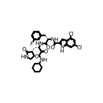 O=C(NC1CCCCC1)C(=O)[C@H](C[C@@H]1CCNC1=O)NC(=O)[C@H](Cc1cccc(F)c1)NC(=O)c1cc2c(Cl)cc(Cl)cc2[nH]1